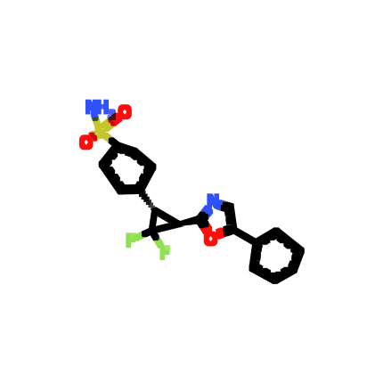 NS(=O)(=O)c1ccc([C@@H]2[C@@H](c3ncc(-c4ccccc4)o3)C2(F)F)cc1